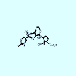 CCn1c(-c2cnc(C)nc2)nc2c(NC3CCN(C(=O)O)C3CC(C)(C)C)ncnc21